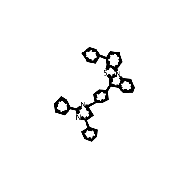 c1ccc(-c2cc(-c3ccc(-c4c5ccccc5n5c4sc4c(-c6ccccc6)cccc45)cc3)nc(-c3ccccc3)n2)cc1